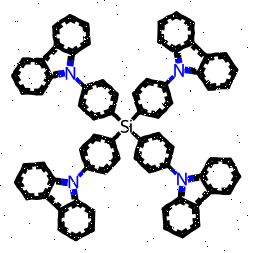 c1ccc2c(c1)c1ccccc1n2-c1ccc([Si](c2ccc(-n3c4ccccc4c4ccccc43)cc2)(c2ccc(-n3c4ccccc4c4ccccc43)cc2)c2ccc(-n3c4ccccc4c4ccccc43)cc2)cc1